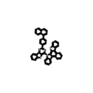 c1ccc2c(-c3ccc(-c4nc(-n5c6ccccc6c6c7ccccc7c7c8ccccc8sc7c65)c5sc6ccccc6c5n4)cc3)cccc2c1